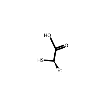 CC[C@@H](S)C(=O)O